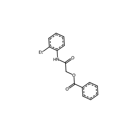 CCc1ccccc1NC(=O)COC(=O)c1ccccc1